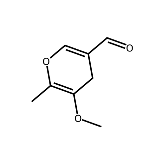 COC1=C(C)OC=C(C=O)C1